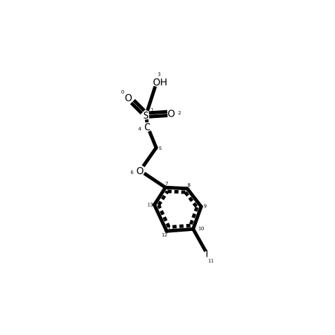 O=S(=O)(O)CCOc1ccc(I)cc1